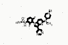 CCC[S+]([O-])Nc1ccc(F)c(-n2cc(-c3cncnc3)c3nc(N(C)C4CCN(CC)CC4)ccc32)c1F